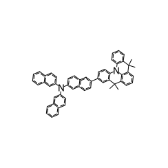 CC1(C)c2ccccc2N2c3ccc(-c4ccc5cc(N(c6ccc7ccccc7c6)c6ccc7ccccc7c6)ccc5c4)cc3C(C)(C)c3cccc1c32